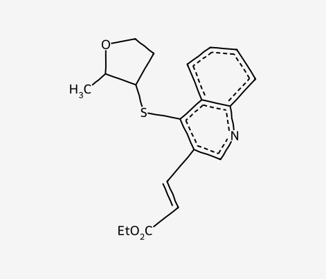 CCOC(=O)/C=C/c1cnc2ccccc2c1SC1CCOC1C